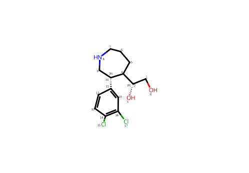 OC[C@H](O)C1CCCNC[C@H]1c1ccc(Cl)c(Cl)c1